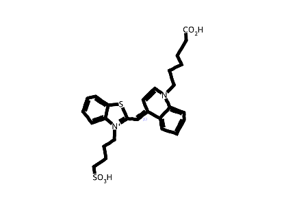 O=C(O)CCCCCN1C=C/C(=C\c2sc3ccccc3[n+]2CCCCS(=O)(=O)O)c2ccccc21